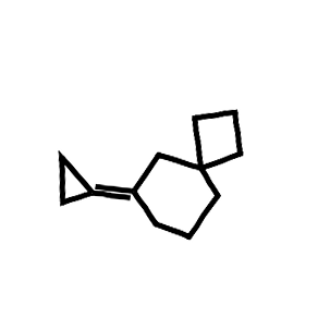 C1CC(=C2CC2)CC2(C1)CCC2